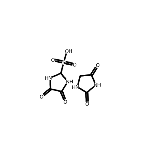 O=C1CNC(=O)N1.O=C1NC(S(=O)(=O)O)NC1=O